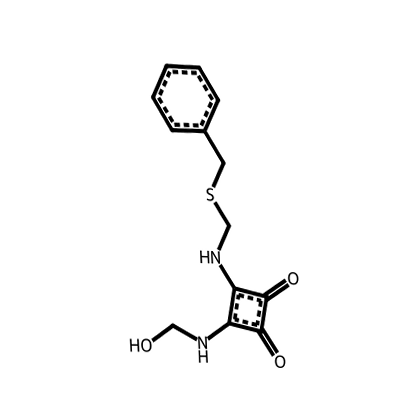 O=c1c(NCO)c(NCSCc2ccccc2)c1=O